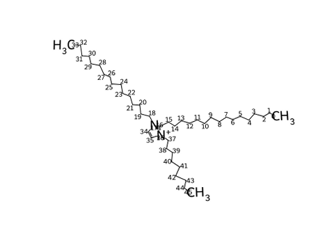 CCCCCCCCCCCCCCCCc1n(CCCCCCCCCCCCCCCC)cc[n+]1CCCCCCCCC